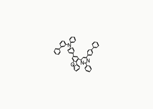 c1ccc(-c2ccc(-c3cc(-c4cc(-c5ccc(N(c6ccccc6)c6cccc(-c7ccccc7)c6)cc5)cc5oc6ccccc6c45)nc(-c4ccccc4)n3)cc2)cc1